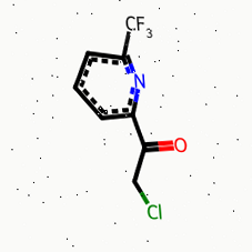 O=C(CCl)c1cccc(C(F)(F)F)n1